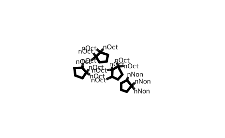 CCCCCCCCC1(CCCCCCCC)CCCC1(CCCCCCCC)CCCCCCCC.CCCCCCCCC1CCC(CCCCCCCC)(CCCCCCCC)C1(CCCCCCCC)CCCCCCCC.CCCCCCCCC1CCCC1(CCCCCCCC)CCCCCCCC.CCCCCCCCCC1CCCC1(CCCCCCCCC)CCCCCCCCC